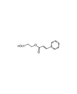 CCCCCCCCCCOC(=O)/C=C/c1ccccc1